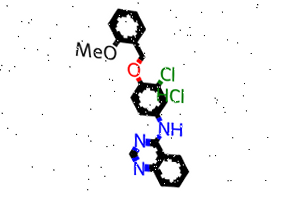 COc1ccccc1COc1ccc(Nc2ncnc3ccccc23)cc1Cl.Cl